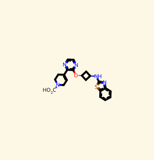 O=C(O)N1CC=C(c2nccnc2O[C@H]2C[C@H](Nc3nc4ccccc4s3)C2)CC1